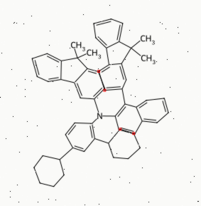 CC1(C)c2ccccc2-c2cc(N(c3ccc(C4CCCCC4)cc3C3CCCCC3)c3ccc4ccccc4c3-c3ccc4c(c3)C(C)(C)c3ccccc3-4)ccc21